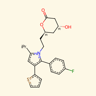 CC(C)c1cc(-c2cccs2)c(-c2ccc(F)cc2)n1CC[C@@H]1C[C@@H](O)CC(=O)O1